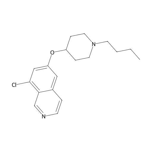 CCCCN1CCC(Oc2cc(Cl)c3cnccc3c2)CC1